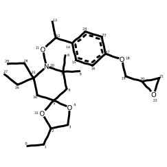 CCC1COC2(CC(C)(C)N(OC(C)c3ccc(OCC4CO4)cc3)C(CC)(CC)C2)O1